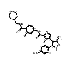 Cn1c(-c2c(C(F)(F)F)n[nH]c2-c2ccc(N)cn2)cnc1C(=O)Nc1ccc(C(=O)NCC2CCNCC2)c(Cl)c1